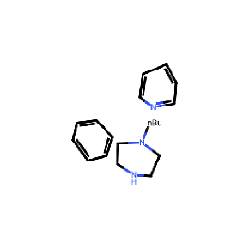 CCCCN1CCNCC1.c1ccccc1.c1ccncc1